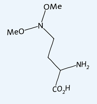 CON(CCC(N)C(=O)O)OC